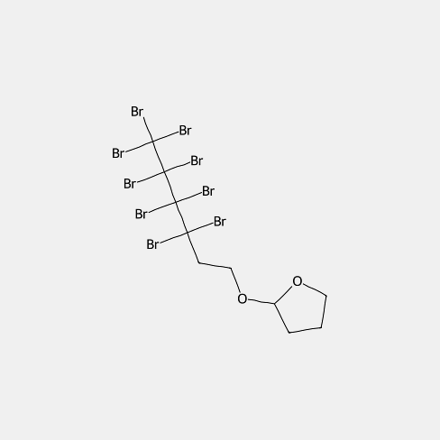 BrC(Br)(Br)C(Br)(Br)C(Br)(Br)C(Br)(Br)CCOC1CCCO1